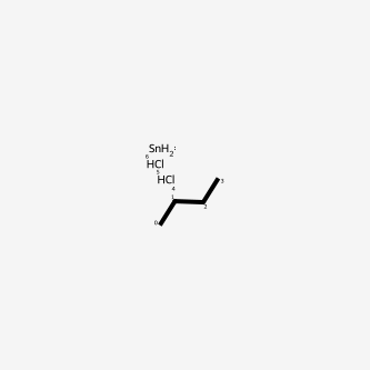 CCCC.Cl.Cl.[SnH2]